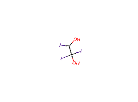 OC(I)C(O)(I)I